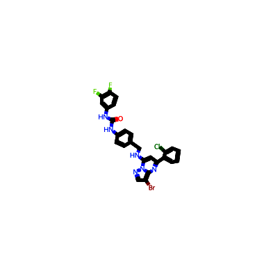 O=C(Nc1ccc(CNc2cc(-c3ccccc3Cl)nc3c(Br)cnn23)cc1)Nc1ccc(F)c(F)c1